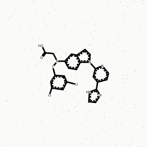 O=C(O)CN(Sc1cc(Cl)cc(Cl)c1)c1ccc2c(ccn2-c2cc(-c3ncc[nH]3)ccn2)c1